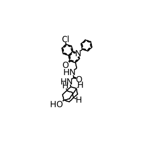 O=C(NCc1cn(-c2ccccc2)c2cc(Cl)ccc2c1=O)NC1[C@@H]2C[C@@H]3C[C@H]1CC(O)(C3)C2